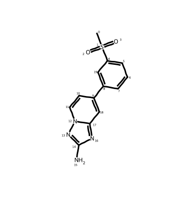 CS(=O)(=O)c1cccc(-c2ccn3nc(N)nc3c2)c1